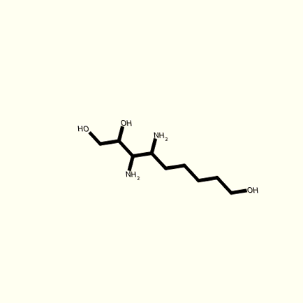 NC(CCCCCO)C(N)C(O)CO